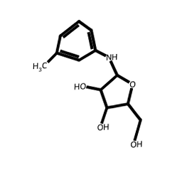 Cc1cccc(NC2OC(CO)C(O)C2O)c1